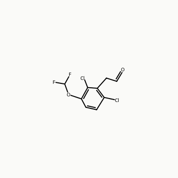 O=CCc1c(Cl)ccc(OC(F)F)c1Cl